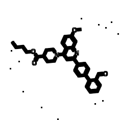 CCCCOC(=O)C1CCN(c2cc(-c3ccc(-c4ccccc4C=O)cc3)nc3cc(OC)ccc23)CC1